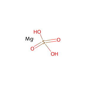 O=S(=O)(O)O.[Mg]